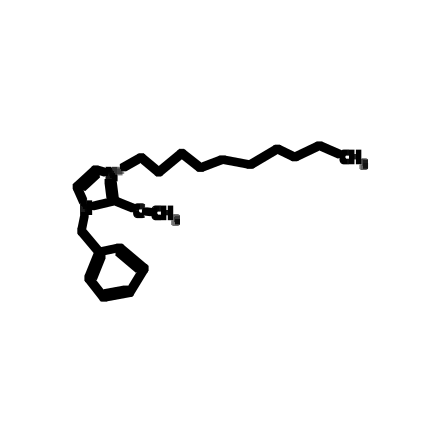 CCCCCCCCCC[n+]1ccn(Cc2ccccc2)c1CC